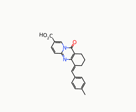 Cc1ccc(C=C2CCCc3c2nc2ccc(C(=O)O)cn2c3=O)cc1